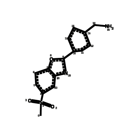 CS(=O)(=O)c1ccc2oc(-c3ccc(CN)cc3)nc2c1